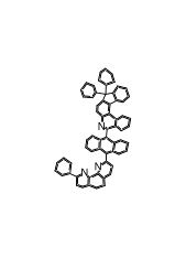 c1ccc(-c2ccc3ccc4ccc(-c5c6ccccc6c(-c6nc7ccc8c(c7c7ccccc67)-c6ccccc6C8(c6ccccc6)c6ccccc6)c6ccccc56)nc4c3n2)cc1